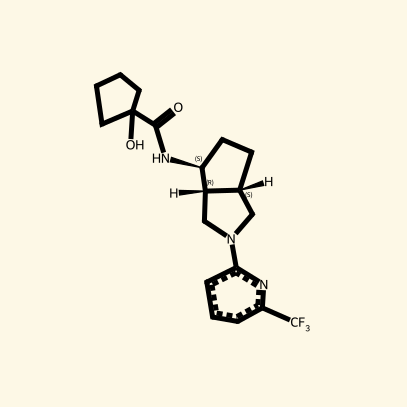 O=C(N[C@H]1CC[C@@H]2CN(c3cccc(C(F)(F)F)n3)C[C@@H]21)C1(O)CCCC1